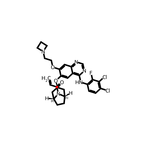 C=CC(=O)N1[C@@H]2CC[C@H]1C[C@H](Oc1cc3c(Nc4ccc(Cl)c(Cl)c4F)ncnc3cc1OCCN1CCC1)C2